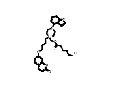 CCCCCC(=O)OC[N+]1(CCCCOc2ccc3ccc(=O)[nH]c3c2)CCN(c2cccc3sccc23)CC1.[Cl-]